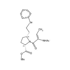 CC=C(NC(C)=O)C(=O)N1[C@@H](CC[Se]c2ccccc2)CC[C@H]1C(=O)OC(C)(C)C